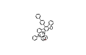 c1ccc(-c2ccc(-c3c4c(cc5c3c3cccc(N(c6ccccc6)c6ccccc6)c3n5-c3ccccc3)oc3ccccc34)cc2)cc1